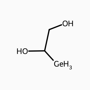 OC[CH](O)[GeH3]